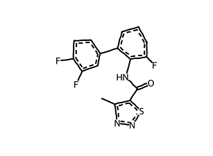 Cc1nnsc1C(=O)Nc1c(F)cccc1-c1ccc(F)c(F)c1